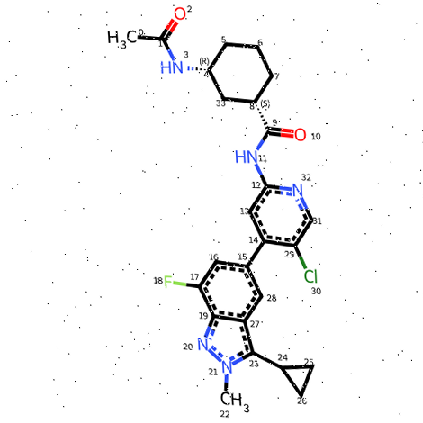 CC(=O)N[C@@H]1CCC[C@H](C(=O)Nc2cc(-c3cc(F)c4nn(C)c(C5CC5)c4c3)c(Cl)cn2)C1